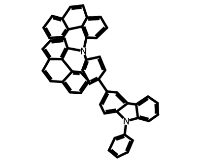 c1ccc(-n2c3ccccc3c3cc(-c4ccc(N(c5cccc6ccc7ccccc7c56)c5cccc6ccc7ccccc7c56)cc4)ccc32)cc1